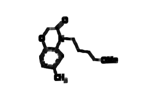 COCCCCN1C(=O)COc2ccc(C)cc21